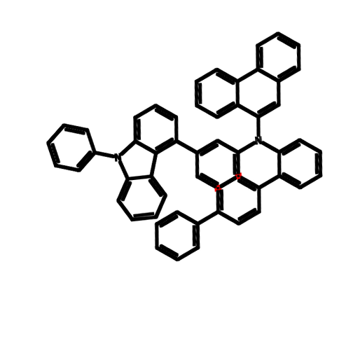 c1ccc(-c2ccc(-c3ccccc3N(c3cccc(-c4cccc5c4c4ccccc4n5-c4ccccc4)c3)c3cc4ccccc4c4ccccc34)cc2)cc1